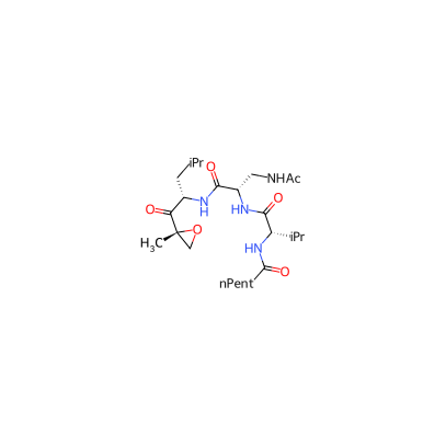 CCCCCC(=O)N[C@H](C(=O)N[C@@H](CNC(C)=O)C(=O)N[C@@H](CC(C)C)C(=O)[C@@]1(C)CO1)C(C)C